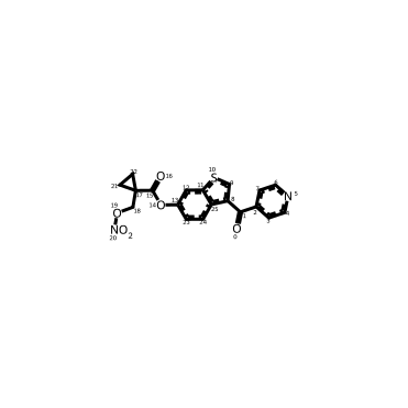 O=C(c1ccncc1)c1csc2cc(OC(=O)C3(CO[N+](=O)[O-])CC3)ccc12